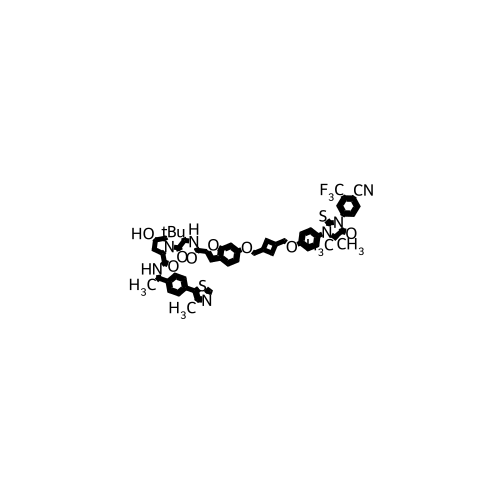 Cc1ncsc1-c1ccc(C(C)NC(=O)C2CC(O)CN2C(=O)C(NC(=O)c2cc3ccc(OCC4CC(COc5ccc(N6C(=S)N(c7ccc(C#N)c(C(F)(F)F)c7)C(=O)C6(C)C)cc5)C4)cc3o2)C(C)(C)C)cc1